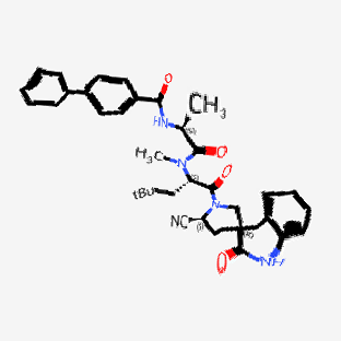 C[C@H](NC(=O)c1ccc(-c2ccccc2)cc1)C(=O)N(C)[C@@H](CC(C)(C)C)C(=O)N1C[C@]2(C[C@H]1C#N)C(=O)Nc1ccccc12